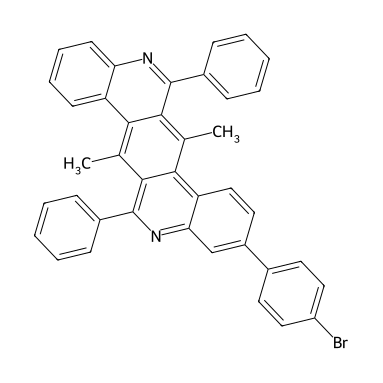 Cc1c2c(-c3ccccc3)nc3cc(-c4ccc(Br)cc4)ccc3c2c(C)c2c(-c3ccccc3)nc3ccccc3c12